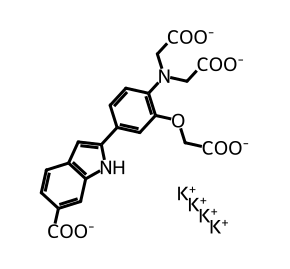 O=C([O-])COc1cc(-c2cc3ccc(C(=O)[O-])cc3[nH]2)ccc1N(CC(=O)[O-])CC(=O)[O-].[K+].[K+].[K+].[K+]